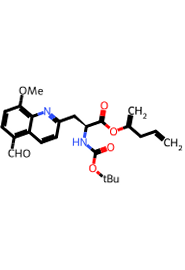 C=CCC(=C)OC(=O)[C@H](Cc1ccc2c(C=O)ccc(OC)c2n1)NC(=O)OC(C)(C)C